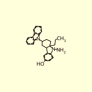 CCCC12CCC(n3c4ccccc4c4ccccc43)CC1c1cc(O)ccc1N2N